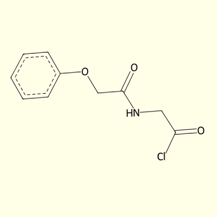 O=C(Cl)CNC(=O)COc1ccccc1